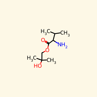 CC(C)C(N)C(=O)OCC(C)(C)O